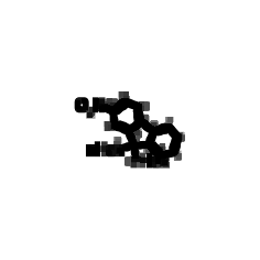 CCCCCCC1(CCCCCC)c2ccccc2-c2ccc([N+](=O)[O-])cc21